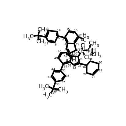 CC1=Cc2c(-c3ccc(C(C)(C)C)cc3)ccc(C)c2[CH]1[Zr]([Cl])([Cl])([CH]1C(C2CC=CCC2)=Cc2c(-c3ccc(C(C)(C)C)cc3)cccc21)[SiH](C)C